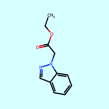 CCOC(=O)Cn1ncc2ccccc21